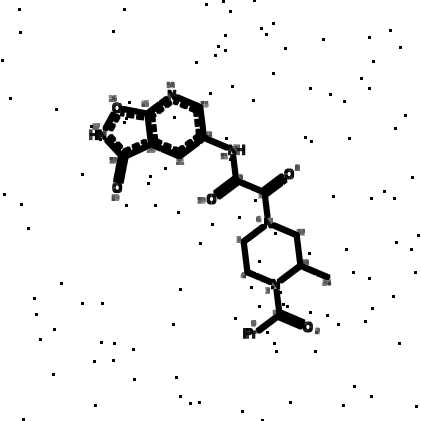 CC(C)C(=O)N1CCN(C(=O)C(=O)Nc2cnc3o[nH]c(=O)c3c2)CC1C